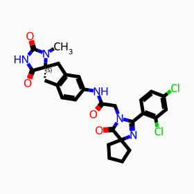 CN1C(=O)NC(=O)[C@@]12Cc1ccc(NC(=O)CN3C(=O)C4(CCCC4)N=C3c3ccc(Cl)cc3Cl)cc1C2